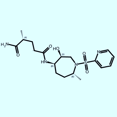 C[C@H](C[CH]C(=O)N[C@@H]1CC[C@@H](C)N(S(=O)(=O)c2ccccn2)C[C@@H]1O)C(N)=O